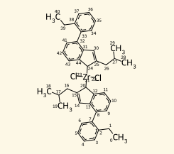 CCc1ccccc1-c1cccc2c1C=C(CC(C)C)[CH]2[Zr]([Cl])([Cl])[CH]1C(CC(C)C)=Cc2c(-c3ccccc3CC)cccc21